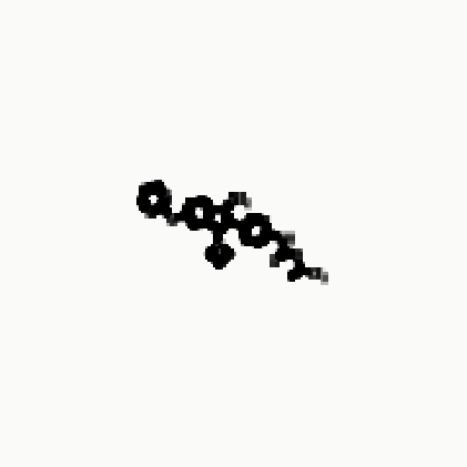 C[C@@H](OC(=O)Nc1ccc(C2=C(N)c3ccc(Oc4ncccn4)cc3C2N2CCC2)cn1)C(F)(F)F